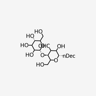 CCCCCCCCCC[C@@H]1OC(CO)[C@@H](O[C@H]2OC(CO)[C@@H](O)C(O)C2O)C(C=O)C1O